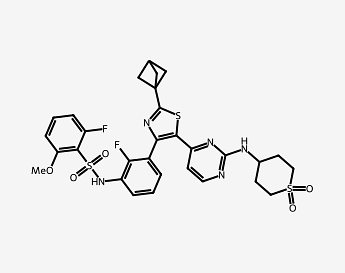 COc1cccc(F)c1S(=O)(=O)Nc1cccc(-c2nc(C34CC(C3)C4)sc2-c2ccnc(NC3CCS(=O)(=O)CC3)n2)c1F